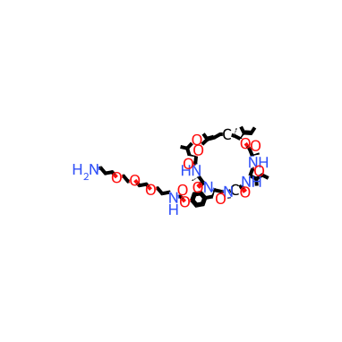 C/C=C(\C)[C@H]1OC(=O)[C@@H](C)NC(=O)C(C(C)CC)NC(=O)CN(C)C(=O)[C@@H](Cc2ccc(OC(=O)NCCCOCCOCCOCCCN)cc2)N(C)C(=O)[C@H](C)NC(=O)[C@@H](CC(C)C)OC(=O)/C(C)=C/CC[C@@H]1C